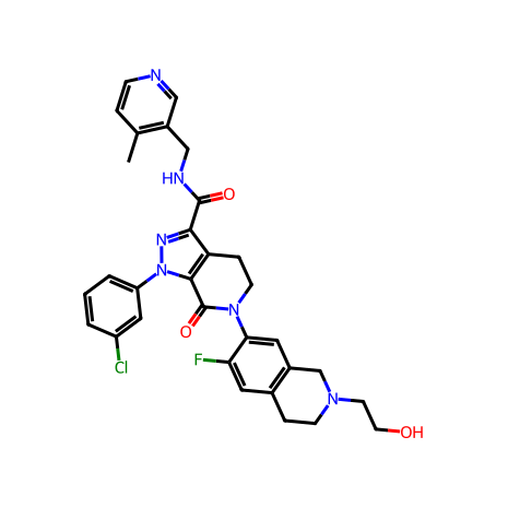 Cc1ccncc1CNC(=O)c1nn(-c2cccc(Cl)c2)c2c1CCN(c1cc3c(cc1F)CCN(CCO)C3)C2=O